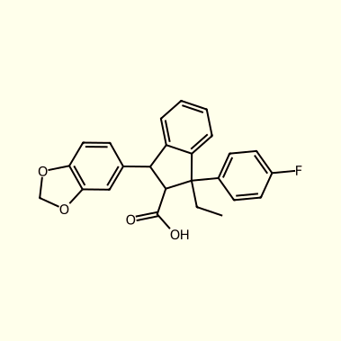 CCC1(c2ccc(F)cc2)c2ccccc2C(c2ccc3c(c2)OCO3)C1C(=O)O